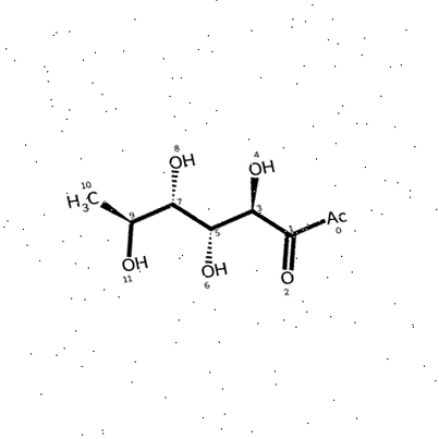 CC(=O)C(=O)[C@H](O)[C@H](O)[C@@H](O)[C@H](C)O